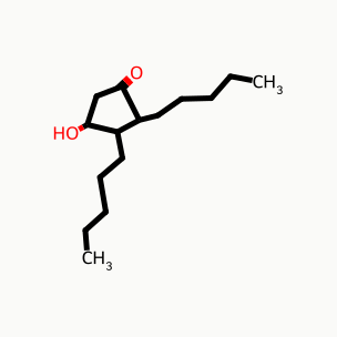 CCCCCC1C(=O)CC(O)C1CCCCC